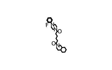 O=C(CCCCC(=O)N1CCC2CCCCC2C1)N1CCN(c2ccccc2F)CC1